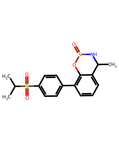 CC1NS(=O)Oc2c(-c3ccc(S(=O)(=O)C(C)C)cc3)cccc21